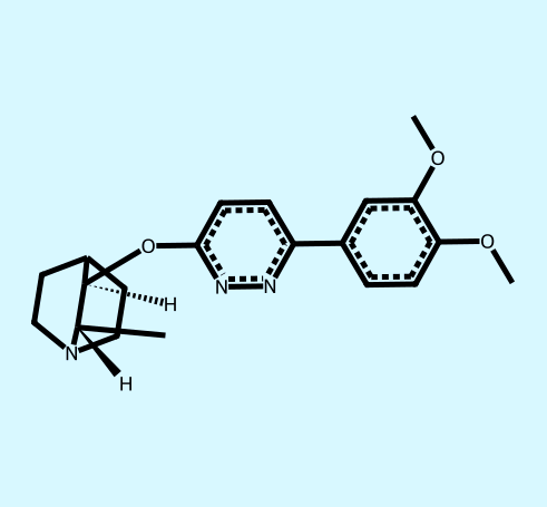 COc1ccc(-c2ccc(O[C@@H]3C4CCN(CC4)[C@H]3C)nn2)cc1OC